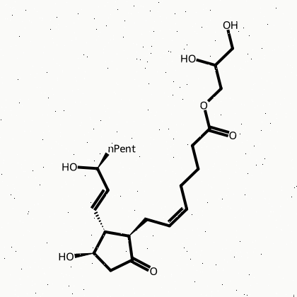 CCCCC[C@H](O)/C=C/[C@H]1[C@H](O)CC(=O)[C@@H]1C/C=C\CCCC(=O)OCC(O)CO